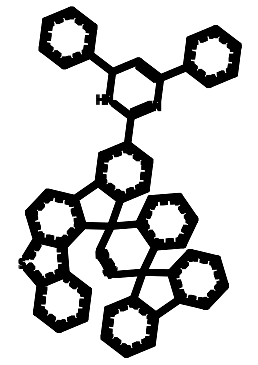 C1=C(c2ccccc2)N=C(c2ccc3c(c2)-c2ccc4sc5ccccc5c4c2C32c3ccccc3C3(c4ccccc4-c4ccccc43)c3ccccc32)NC1c1ccccc1